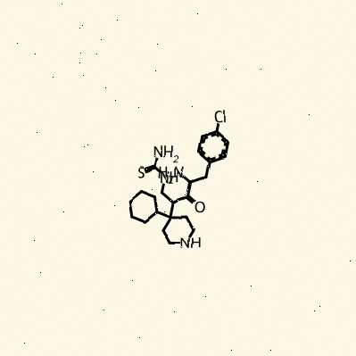 NC(=S)NCC(C(=O)C(N)Cc1ccc(Cl)cc1)C1(C2CCCCC2)CCNCC1